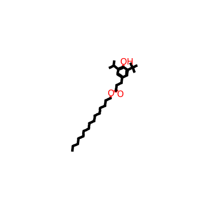 CCCCCCCCCCCCCCCOC(=O)CCc1cc(C(C)C)c(O)c(C(C)(C)C)c1